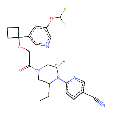 CCC1CN(C(=O)COC2(c3cncc(OC(F)F)c3)CCC2)C[C@H](C)N1c1ccc(C#N)cn1